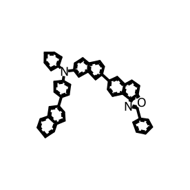 c1ccc(-c2nc3c(ccc4cc(-c5ccc6ccc(N(c7ccccc7)c7ccc(-c8ccc9ccccc9c8)cc7)cc6c5)ccc43)o2)cc1